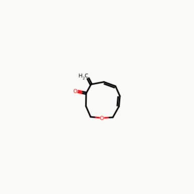 C=C1/C=C\C=C/COCCC1=O